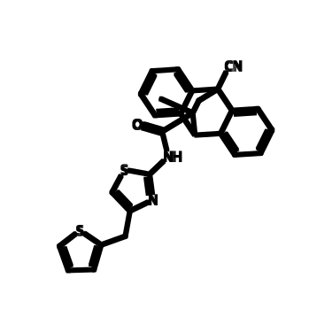 CC1(C(=O)Nc2nc(Cc3cccs3)cs2)CC2(C#N)c3ccccc3C1c1ccccc12